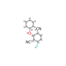 N#Cc1ccc(F)c(C#N)c1Oc1ccccc1